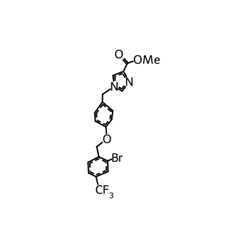 COC(=O)c1cn(Cc2ccc(OCc3ccc(C(F)(F)F)cc3Br)cc2)cn1